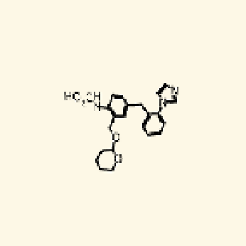 O=C(O)Nc1ccc(Cc2ccccc2-n2ccnc2)cc1COC1CCCCO1